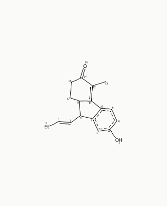 CCC=CC1c2cc(O)ccc2C2=C(C)C(=O)CCC21